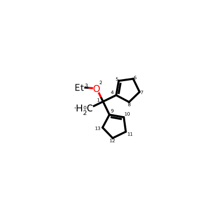 [CH2]C(OCC)(C1=CCCC1)C1=CCCC1